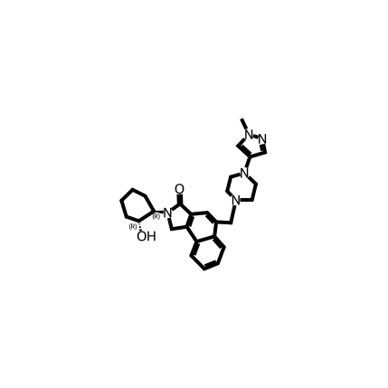 Cn1cc(N2CCN(Cc3cc4c(c5ccccc35)CN([C@@H]3CCCC[C@H]3O)C4=O)CC2)cn1